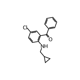 O=C(c1ccccc1)c1cc(Cl)ccc1NCC1CC1